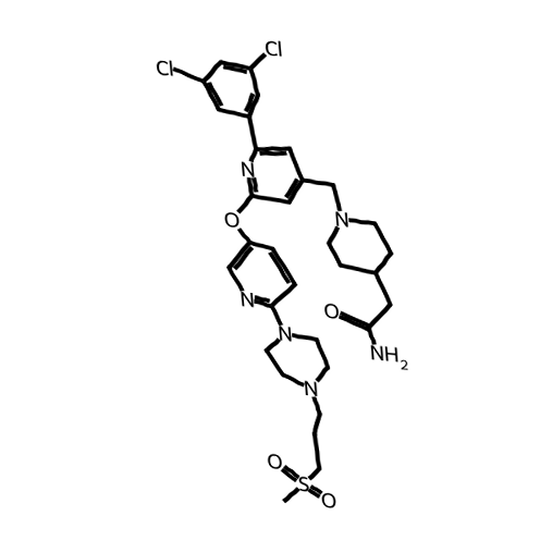 CS(=O)(=O)CCCN1CCN(c2ccc(Oc3cc(CN4CCC(CC(N)=O)CC4)cc(-c4cc(Cl)cc(Cl)c4)n3)cn2)CC1